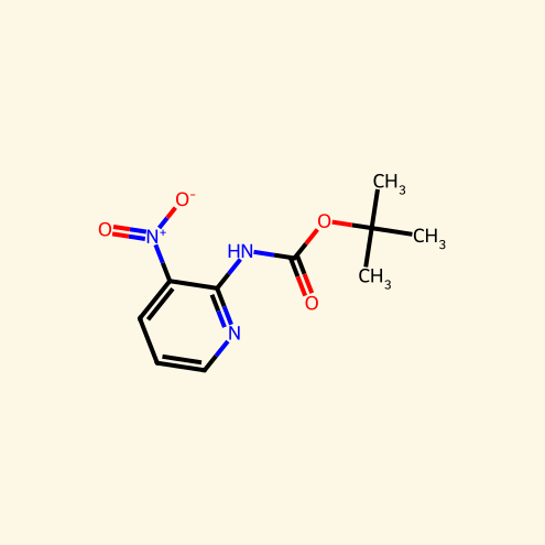 CC(C)(C)OC(=O)Nc1ncccc1[N+](=O)[O-]